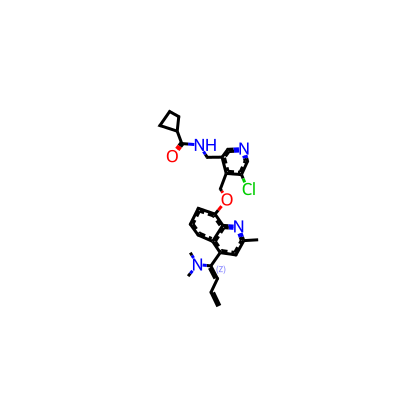 C=C/C=C(/c1cc(C)nc2c(OCc3c(Cl)cncc3CNC(=O)C3CCC3)cccc12)N(C)C